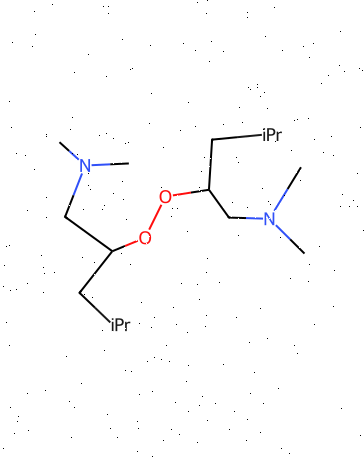 CC(C)CC(CN(C)C)OOC(CC(C)C)CN(C)C